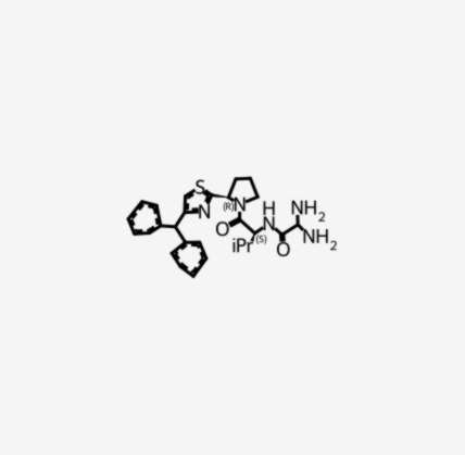 CC(C)[C@H](NC(=O)C(N)N)C(=O)N1CCC[C@@H]1c1nc(C(c2ccccc2)c2ccccc2)cs1